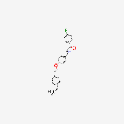 C=Cc1ccc(CCOc2ccc(/C=C/C(=O)c3ccc(F)cc3)cc2)cc1